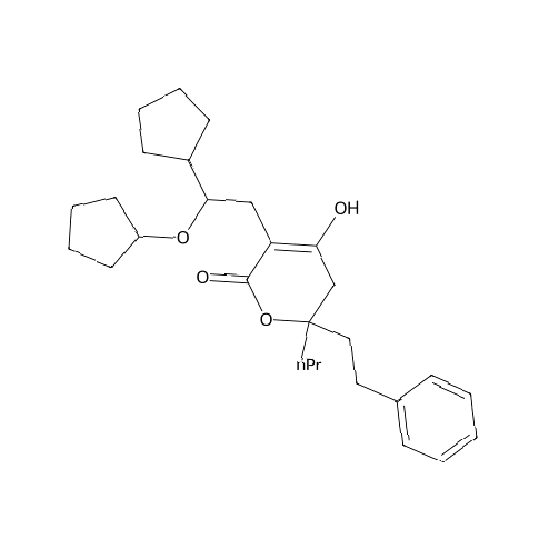 CCCC1(CCc2ccccc2)CC(O)=C(CC(OC2CCCC2)C2CCCC2)C(=O)O1